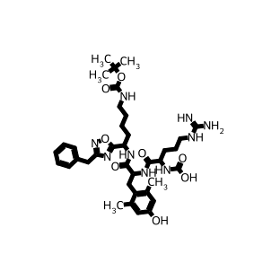 Cc1cc(O)cc(C)c1CC(NC(=O)C(CCCNC(=N)N)NC(=O)O)C(=O)NC(CCCCNC(=O)OC(C)(C)C)c1nc(Cc2ccccc2)no1